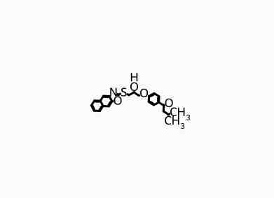 CC(C)CC(=O)c1ccc(OCC(O)CSc2nc3cc4ccccc4cc3o2)cc1